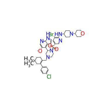 CC1(C)CCC(CN2CCN(S(=O)(=O)c3cnc(NC4CCN(C5CCOCC5)CC4)c(Br)c3)C(c3c([O])cnc4[nH]ccc34)C2)=C(c2ccc(Cl)cc2)C1